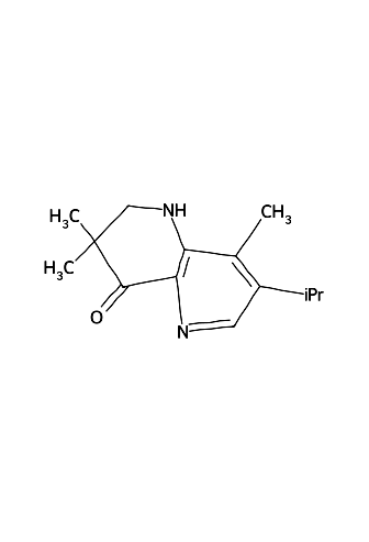 Cc1c(C(C)C)cnc2c1NCC(C)(C)C2=O